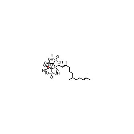 CC(C)=CCCC(C)=CCCC(C)=CCP(=O)(C(P(=O)(O)O)P(=O)(O)O)C(P(=O)(O)O)P(=O)(O)O